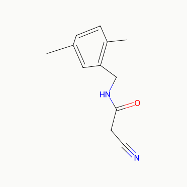 Cc1ccc(C)c(CNC(=O)CC#N)c1